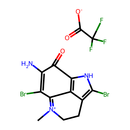 C[N+]1=C2C(Br)=C(N)C(=O)c3[nH]c(Br)c(c32)CC1.O=C([O-])C(F)(F)F